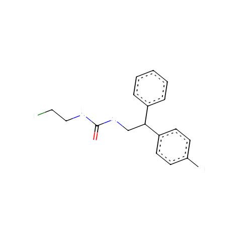 Cc1ccc(C(CNC(=O)NCCF)c2ccccc2)cc1